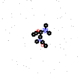 c1ccc(-c2nc(-c3ccccc3)nc(-c3cc(-c4ccc(N(c5ccccc5)c5ccc6c(c5)oc5ccccc56)cc4)c4c(c3)oc3cc5ccccc5cc34)n2)cc1